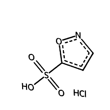 Cl.O=S(=O)(O)c1ccno1